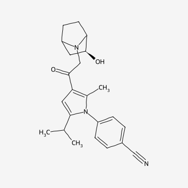 Cc1c(C(=O)CN2C3CCC2[C@@H](O)C3)cc(C(C)C)n1-c1ccc(C#N)cc1